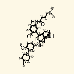 COc1ccc(Nc2nc(-c3cc(NC(=O)/C=C/CN(C)C)ccc3Cl)c3cn[nH]c3n2)cc1N1CCN(C)CC1